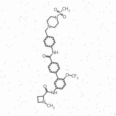 CN1CCC1C(=O)Nc1ccc(OC(F)(F)F)c(-c2ccc(C(=O)Nc3ccc(CN4CCN(S(C)(=O)=O)CC4)cc3)cc2)c1